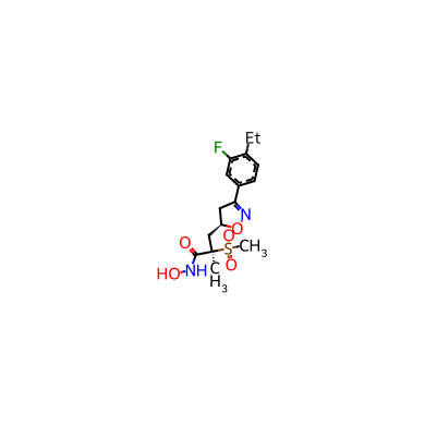 CCc1ccc(C2=NO[C@@H](C[C@](C)(C(=O)NO)S(C)(=O)=O)C2)cc1F